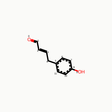 O=[C]C=CCc1ccc(O)cc1